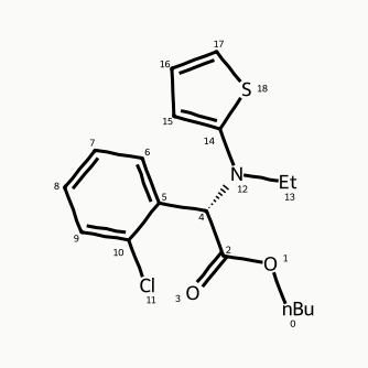 CCCCOC(=O)[C@H](c1ccccc1Cl)N(CC)c1cccs1